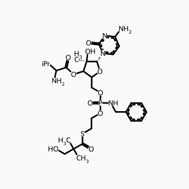 CC(C)C(N)C(=O)OC1C(COP(=O)(NCc2ccccc2)OCCSC(=O)C(C)(C)CO)O[C@@H](n2ccc(N)nc2=O)[C@]1(C)O